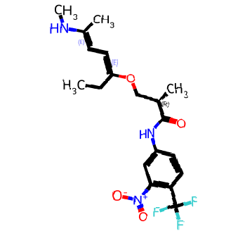 CC/C(=C\C=C(/C)NC)OC[C@@H](C)C(=O)Nc1ccc(C(F)(F)F)c([N+](=O)[O-])c1